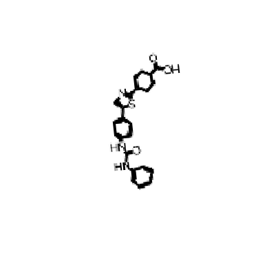 O=C(Nc1ccccc1)Nc1ccc(-c2cnc(C3CCC(C(=O)O)CC3)s2)cc1